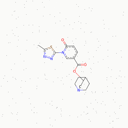 Cc1nnc(-n2cc(C(=O)OC3CN4CCC3CC4)ccc2=O)s1